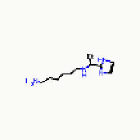 CCC(NCCCCCCN)c1ncc[nH]1